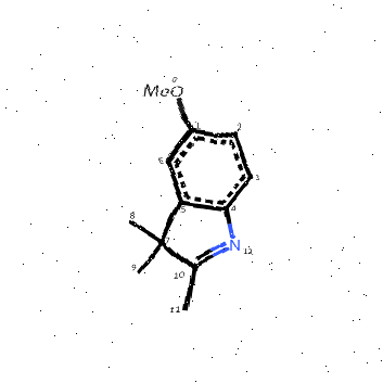 COc1ccc2c(c1)C(C)(C)C(C)=N2